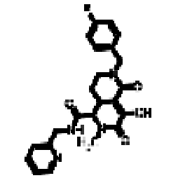 CN1C(=O)C(O)=C2C(=O)N(Cc3ccc(F)cc3)CCC2C1C(=O)NCc1ccccn1